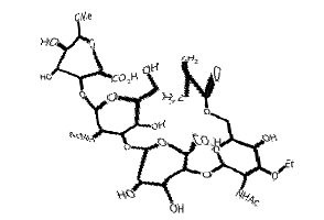 C=C(C)C(=O)OCC1OC(OC2C(C(=O)O)OC(OC3C(O)C(CO)OC(OC4C(C(=O)O)OC(OC)C(O)C4O)C3NC(C)=O)C(O)C2O)C(NC(C)=O)C(OCC)C1O